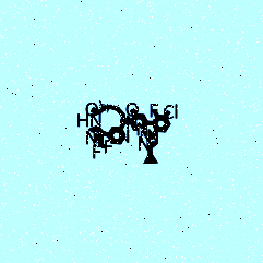 C[C@@H]1CCC[C@H](n2cnc(-c3c(-n4cc(C5CC5)nn4)ccc(Cl)c3F)cc2=O)c2cc(ccn2)-c2c(cnn2C(F)F)NC1=O